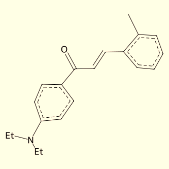 CCN(CC)c1ccc(C(=O)C=Cc2ccccc2C)cc1